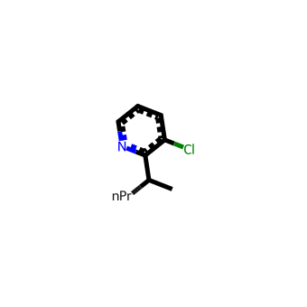 CCCC(C)c1ncccc1Cl